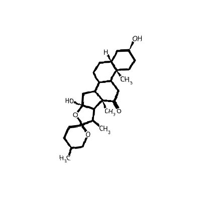 CC1CCC2(OC1)O[C@]1(O)CC3C4CC[C@@H]5C[C@@H](O)CC[C@]5(C)C4CC(=O)[C@]3(C)C1C2C